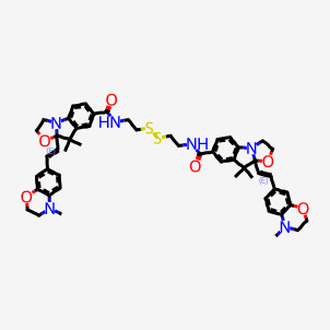 CN1CCOc2cc(/C=C/C34OCCN3c3ccc(C(=O)NCCSSCCNC(=O)c5ccc6c(c5)C(C)(C)C5(/C=C/c7ccc8c(c7)OCCN8C)OCCN65)cc3C4(C)C)ccc21